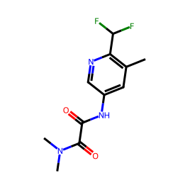 Cc1cc(NC(=O)C(=O)N(C)C)cnc1C(F)F